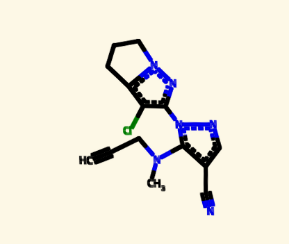 C#CCN(C)c1c(C#N)cnn1-c1nn2c(c1Cl)CCC2